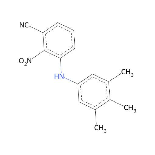 Cc1cc(Nc2cccc(C#N)c2[N+](=O)[O-])cc(C)c1C